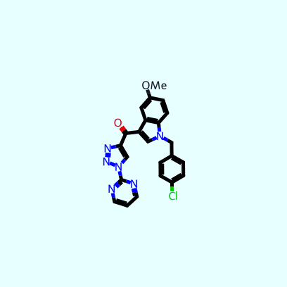 COc1ccc2c(c1)c(C(=O)c1cn(-c3ncccn3)nn1)cn2Cc1ccc(Cl)cc1